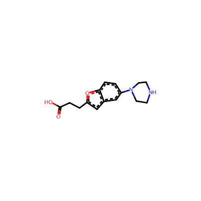 O=C(O)CCc1cc2cc(N3CCNCC3)ccc2o1